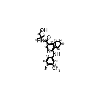 CC(C)(CO)NC(=O)c1cnc(Nc2ccc(F)c(C(F)(F)F)c2)c2c1C1CCC2C1